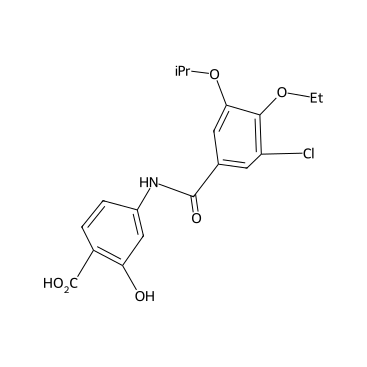 CCOc1c(Cl)cc(C(=O)Nc2ccc(C(=O)O)c(O)c2)cc1OC(C)C